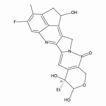 CC[C@]1(O)c2cc3n(c(=O)c2COC1O)Cc1c-3nc2cc(F)c(C)c3c2c1C(O)C3